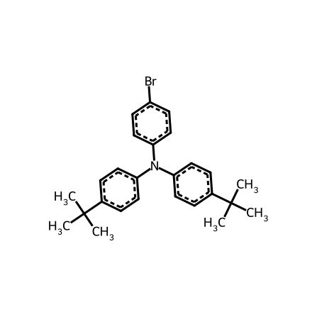 CC(C)(C)c1ccc(N(c2ccc(Br)cc2)c2ccc(C(C)(C)C)cc2)cc1